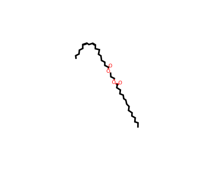 CCCCC/C=C\C/C=C\CCCCCCCC(=O)OCCCOC(=O)CCCCCCCCCCCCCCC